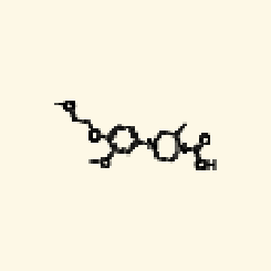 COCCOc1ccc(N2CCN(C(=O)O)C(C)C2)cc1OC